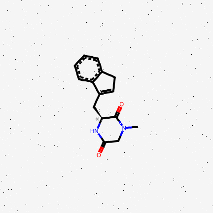 CN1CC(=O)N[C@@H](CC2=CCc3ccccc32)C1=O